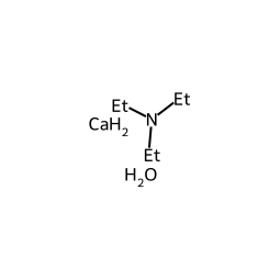 CCN(CC)CC.O.[CaH2]